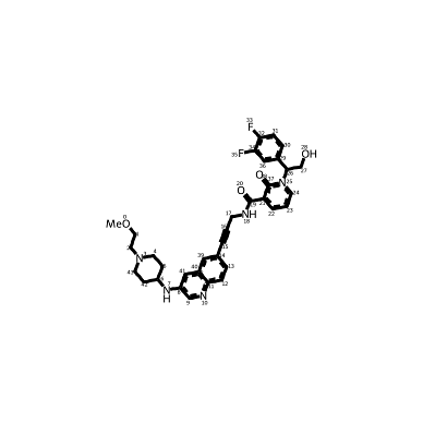 COCCN1CCC(Nc2cnc3ccc(C#CCNC(=O)c4cccn(C(CO)c5ccc(F)c(F)c5)c4=O)cc3c2)CC1